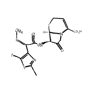 CO/N=C(\C(=O)N[C@@H]1C(=O)N2C(C(=O)O)=CCS[C@H]12)c1nc(C)sc1F